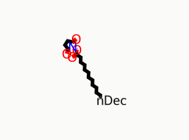 CCCCCCCCCCCCCCCCCCCCCC(=O)ON1C(=O)CCC1=O